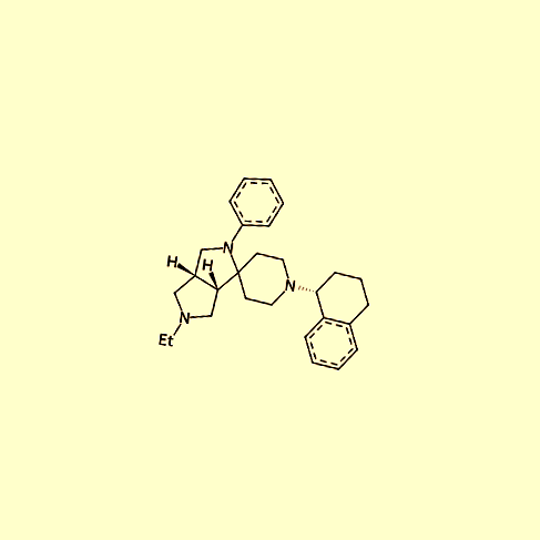 CCN1C[C@@H]2CN(c3ccccc3)C3(CCN([C@@H]4CCCc5ccccc54)CC3)[C@@H]2C1